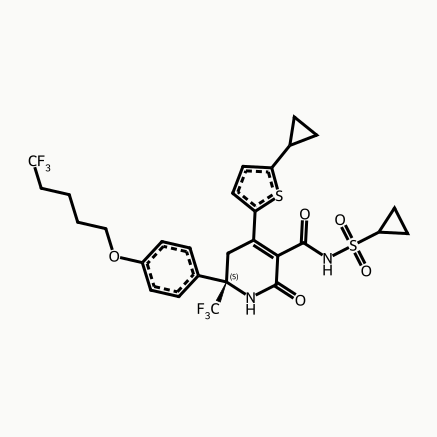 O=C1N[C@@](c2ccc(OCCCCC(F)(F)F)cc2)(C(F)(F)F)CC(c2ccc(C3CC3)s2)=C1C(=O)NS(=O)(=O)C1CC1